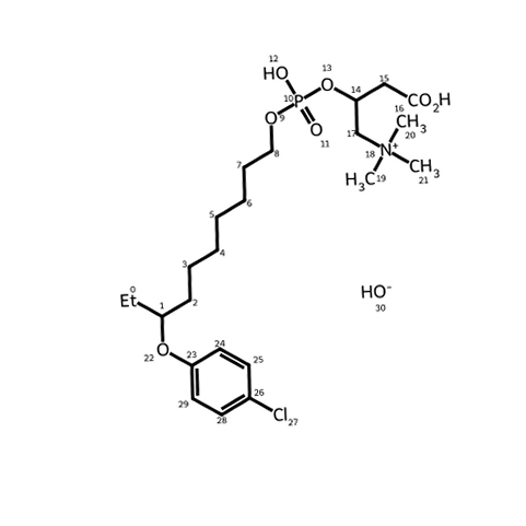 CCC(CCCCCCCOP(=O)(O)OC(CC(=O)O)C[N+](C)(C)C)Oc1ccc(Cl)cc1.[OH-]